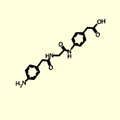 Nc1ccc(CC(=O)NCC(=O)Nc2ccc(CC(=O)O)cc2)cc1